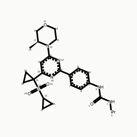 CC(C)NC(=O)Nc1ccc(-c2nc(N3CCOC[C@@H]3C)cc(C3(S(=O)(=O)C4CC4)CC3)n2)cc1